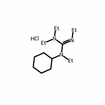 CCN=C(N(CC)CC)N(CC)C1CCCCC1.Cl